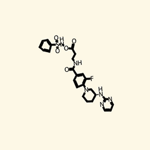 O=C(CCNC(=O)c1ccc(N2CCC[C@@H](Nc3ncccn3)C2)c(F)c1)ONS(=O)(=O)c1ccccc1